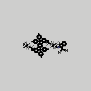 Cc1ccc(C2(c3ccc(C)cc3)c3cc4c(cc3-c3c2ccc2cc(-c5nc6scnc6s5)sc32)C(c2ccc(C)cc2)(c2ccc(C)cc2)c2ccc3cc(-c5nc6sc(/C=C7\C(=O)c8ccccc8C7=C(C#N)C#N)nc6s5)sc3c2-4)cc1